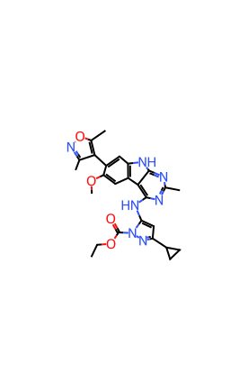 CCOC(=O)n1nc(C2CC2)cc1Nc1nc(C)nc2[nH]c3cc(-c4c(C)noc4C)c(OC)cc3c12